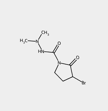 CN(C)NC(=O)N1CCC(Br)C1=O